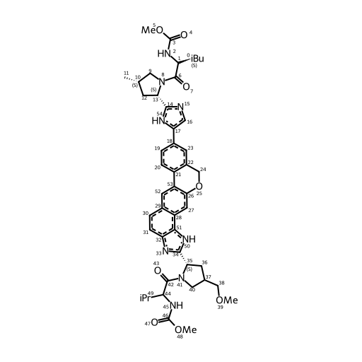 CC[C@H](C)C(NC(=O)OC)C(=O)N1C[C@@H](C)C[C@H]1c1ncc(-c2ccc3c(c2)COc2cc4c(ccc5nc([C@@H]6CC(COC)CN6C(=O)C(NC(=O)OC)C(C)C)[nH]c54)cc2-3)[nH]1